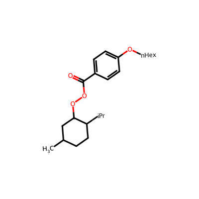 CCCCCCOc1ccc(C(=O)OO[C]2CC(C)CCC2C(C)C)cc1